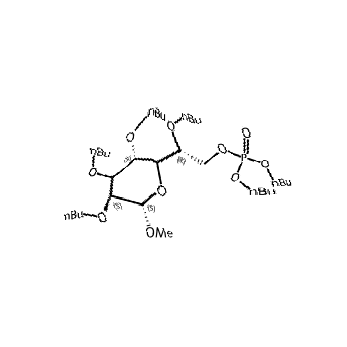 CCCCOC1[C@H](OCCCC)C([C@@H](COP(=O)(OCCCC)OCCCC)OCCCC)O[C@H](OC)[C@H]1OCCCC